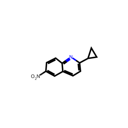 O=[N+]([O-])c1ccc2nc(C3CC3)ccc2c1